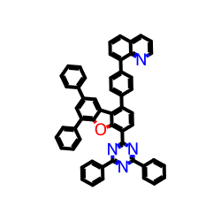 c1ccc(-c2cc(-c3ccccc3)c3oc4c(-c5nc(-c6ccccc6)nc(-c6ccccc6)n5)ccc(-c5ccc(-c6cccc7cccnc67)cc5)c4c3c2)cc1